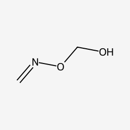 C=NOCO